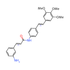 COc1cc(/C=C/c2ccc(NC(=O)/C=C/c3cccc(N)c3)cc2)cc(OC)c1OC